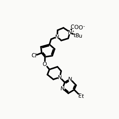 CCc1cnc(N2CCC(Oc3ccc(CN4CC[N+](C(=O)[O-])(C(C)(C)C)CC4)cc3Cl)CC2)nc1